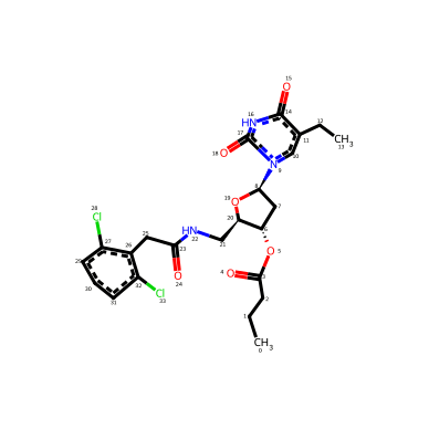 CCCC(=O)O[C@H]1C[C@H](n2cc(CC)c(=O)[nH]c2=O)O[C@@H]1CNC(=O)Cc1c(Cl)cccc1Cl